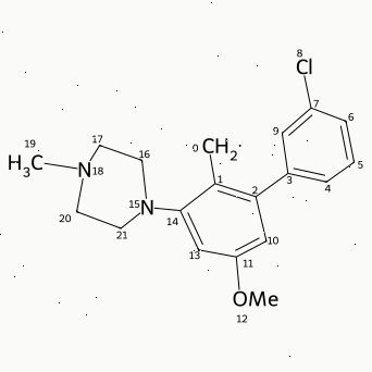 [CH2]c1c(-c2cccc(Cl)c2)cc(OC)cc1N1CCN(C)CC1